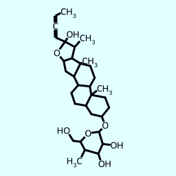 CC=C=CC1(O)OC2CC3C4CCC5CC(OC6OC(CO)C(C)C(O)C6O)CCC5(C)C4CCC3(C)C2C1C